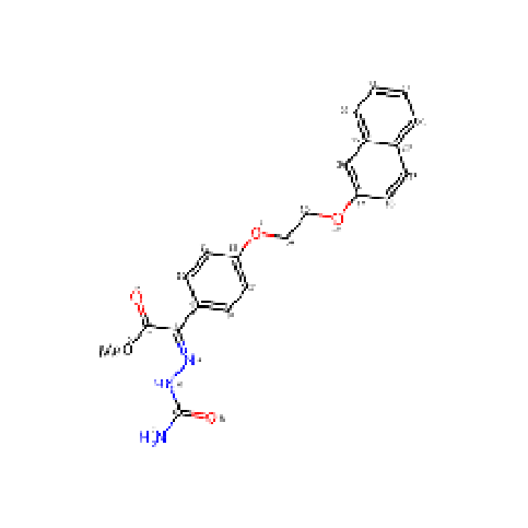 COC(=O)C(=NNC(N)=O)c1ccc(OCCOc2ccc3ccccc3c2)cc1